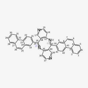 c1ccc2c(c1)ccc1cc(/C3=N/c4ccncc4/C(c4ccc5c(ccc6ccccc65)c4)=N\c4ccncc43)ccc12